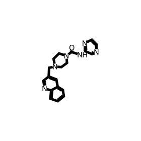 O=C(Nc1cnccn1)N1CCN(Cc2cnc3ccccc3c2)CC1